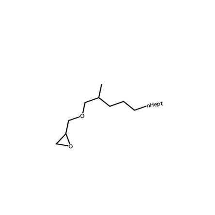 CCCCCCCCCCC(C)COCC1CO1